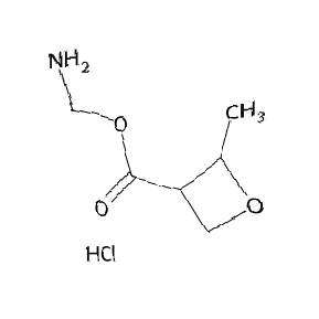 CC1OCC1C(=O)OCN.Cl